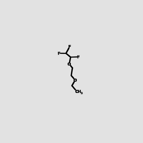 CCOCCOC(F)C(F)F